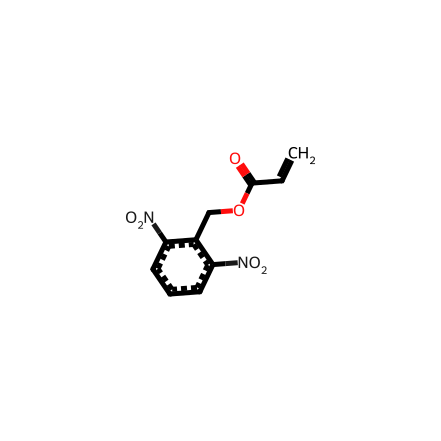 C=CC(=O)OCc1c([N+](=O)[O-])cccc1[N+](=O)[O-]